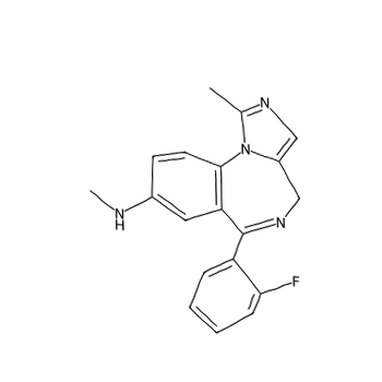 CNc1ccc2c(c1)C(c1ccccc1F)=NCc1cnc(C)n1-2